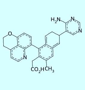 Cc1cc2c(c(-c3ccc4c5c(ccnc35)CCO4)c1CC(=O)O)=CCC(c1cncnc1N)C=2